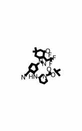 CC1(C)CC(=O)c2c(C(F)(F)F)nn(-c3ccc(C#N)c(N[C@H]4CCCN(C(=O)OC(C)(C)C)C4)c3)c2C1